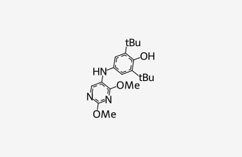 COc1ncc(Nc2cc(C(C)(C)C)c(O)c(C(C)(C)C)c2)c(OC)n1